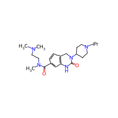 CC(C)N1CCC(N2Cc3ccc(C(=O)N(C)CCN(C)C)cc3NC2=O)CC1